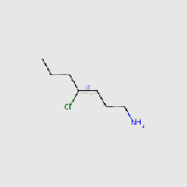 CCC/C(Cl)=C/CCN